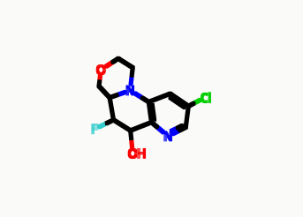 OC1c2ncc(Cl)cc2N2CCOCC2C1F